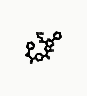 CC(=O)NCCNc1nc(-c2ccccc2)nc2[nH]c(C(=O)N3CCN(C(=O)C4CC4c4ccccc4)CC3)cc12